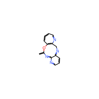 C=C1/N=c2/nccc/c2=N/CC2=C(C=C=CC=N2)O1